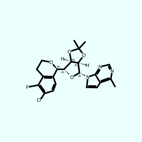 Cc1ncnc2c1ccn2[C@@H]1O[C@H]([C@@H]2OCCc3c2ccc(Cl)c3F)[C@H]2OC(C)(C)O[C@H]21